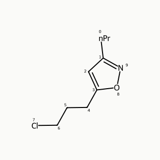 CCCc1cc(CCCCl)on1